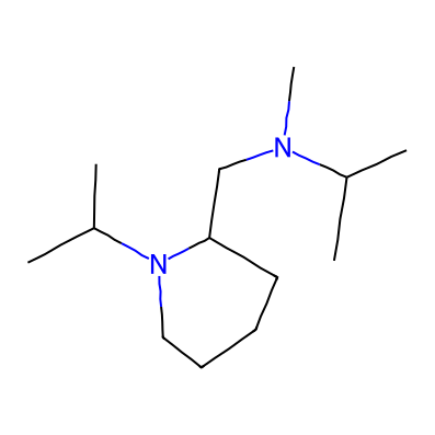 CC(C)N(C)CC1CCCCN1C(C)C